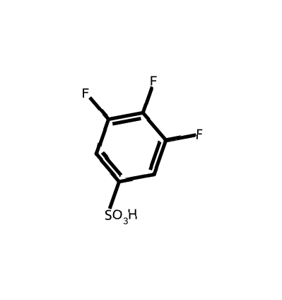 O=S(=O)(O)c1cc(F)c(F)c(F)c1